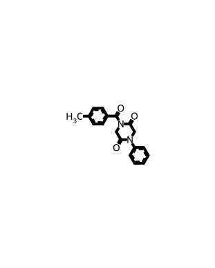 Cc1ccc(C(=O)N2CC(=O)N(c3ccccc3)CC2=O)cc1